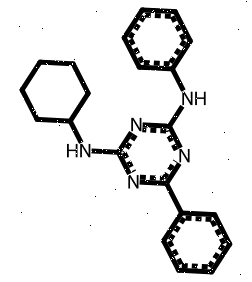 c1ccc(Nc2nc(NC3CCCCC3)nc(-c3ccccc3)n2)cc1